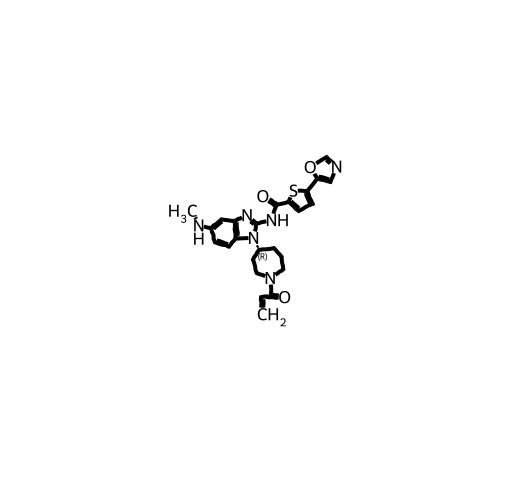 C=CC(=O)N1CCC[C@@H](n2c(NC(=O)c3ccc(-c4cnco4)s3)nc3cc(NC)ccc32)CC1